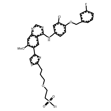 CCS(=O)(=O)CCOCCCc1nc(-c2cc3c(Nc4ccc(OCc5cccc(F)c5)c(Cl)c4)ncnc3cc2OC)cs1